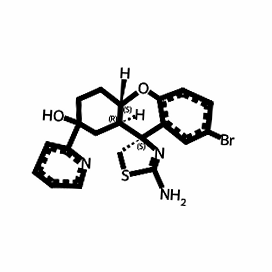 NC1=N[C@]2(CS1)c1cc(Br)ccc1O[C@H]1CCC(O)(c3ccccn3)C[C@@H]12